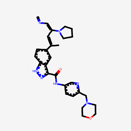 C=N/C=C(\C=C(/C)c1ccc2[nH]nc(C(=O)Nc3ccc(CN4CCOCC4)nc3)c2c1)N1CCCC1